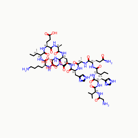 CC[C@H](C)[C@H](NC(=O)[C@H](CCCCN)NC(=O)CNC(=O)[C@H](C)NC(=O)[C@H](Cc1c[nH]cn1)NC(=O)[C@H](C)NC(=O)[C@H](CCC(N)=O)NC(=O)[C@@H](NC(=O)[C@H](Cc1c[nH]cn1)NC(=O)[C@@H](NC(=O)CN)C(C)C)[C@@H](C)CC)C(=O)N[C@@H](CCC(=O)O)C(=O)N[C@@H](C)C(=O)N[C@@H](CC(C)C)C(=O)N[C@@H](CO)C(=O)O